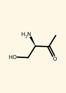 CC(=O)[C@H](N)CO